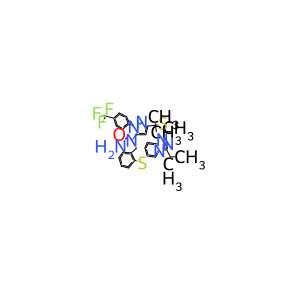 CSC(C)(C)c1cc(N(Cc2ccccc2Sc2ccc3nnc(C(C)C)n3c2)C(N)=O)n(-c2ccc(C(F)(F)F)cc2)n1